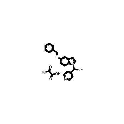 CCCC(c1ccncc1)n1ccc2cc(OCc3ccccc3)ccc21.O=C(O)C(=O)O